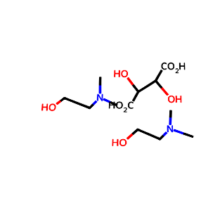 CN(C)CCO.CN(C)CCO.O=C(O)C(O)C(O)C(=O)O